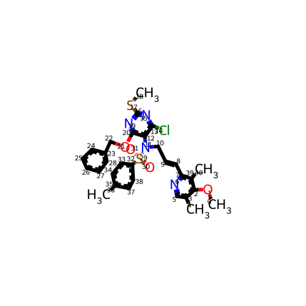 COc1c(C)cnc(/C=C/CN(c2c(Cl)nc(SC)nc2OCc2ccccc2)S(=O)(=O)c2ccc(C)cc2)c1C